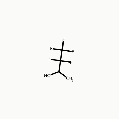 CC(O)C(F)(F)C(F)(F)F